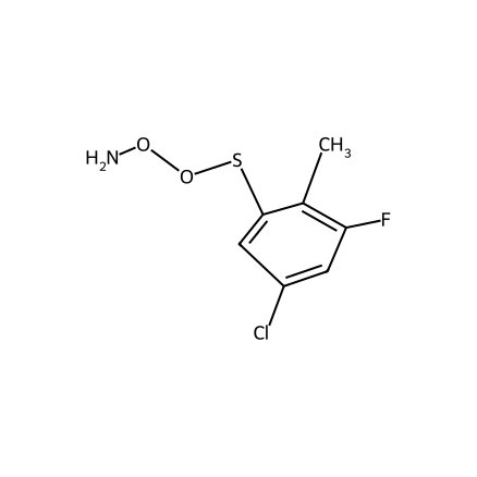 Cc1c(F)cc(Cl)cc1SOON